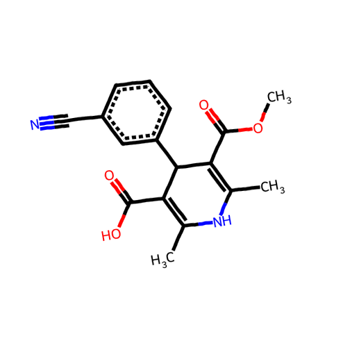 COC(=O)C1=C(C)NC(C)=C(C(=O)O)C1c1cccc(C#N)c1